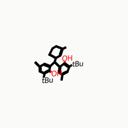 CC1=CC(C(c2cc(C)cc(C(C)(C)C)c2O)c2cc(C)cc(C(C)(C)C)c2O)CCC1